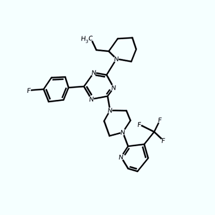 CCC1CCCCN1c1nc(-c2ccc(F)cc2)nc(N2CCN(c3ncccc3C(F)(F)F)CC2)n1